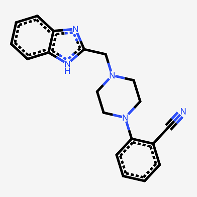 N#Cc1ccccc1N1CCN(Cc2nc3ccccc3[nH]2)CC1